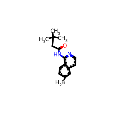 Bc1ccc2c(NC(=O)CC(C)(C)C)nccc2c1